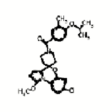 COc1ccc2n1-c1ccc(Cl)cc1OC21CCN(C(=O)c2ccc(OC(C)C)c(C)c2)CC1